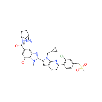 COc1cc(C(=O)N2CC3CCC2[C@@H]3N)cc2nc(-c3cc4ccc(-c5ccc(CS(C)(=O)=O)cc5Cl)nc4n3CC3CC3)n(C)c12